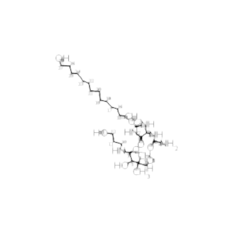 CC(C)(CO)C(O)C(=O)NCCCO.CCCCCCCCCCCCCCO.NC(=O)NC1NC(=O)NC1=O